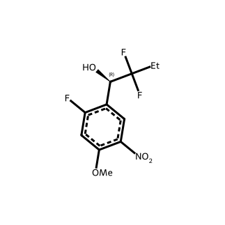 CCC(F)(F)[C@H](O)c1cc([N+](=O)[O-])c(OC)cc1F